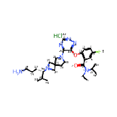 CCN(C(=O)c1cc(F)ccc1Oc1nncnc1N1CCC2(C1)CN([C@@H](CCCN)C(C)C)C2)C(C)C.Cl